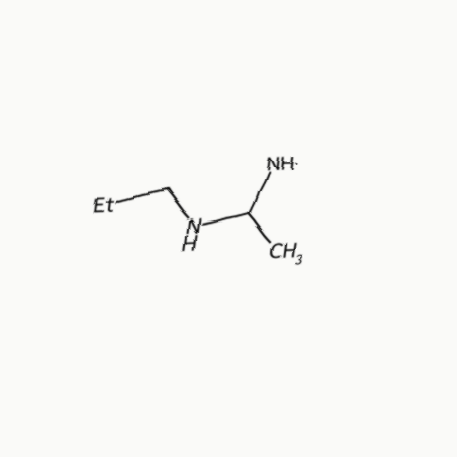 CCCNC(C)[NH]